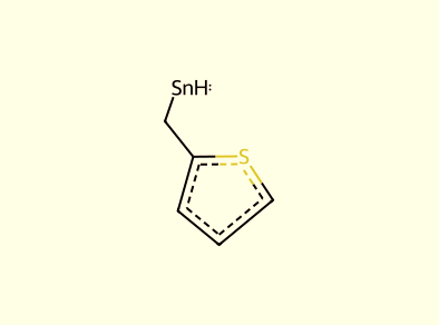 [SnH][CH2]c1cccs1